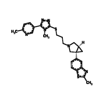 Cc1ccc(-c2nnc(SCCCN3C[C@H]4C[C@@]4(c4ccc5sc(C)nc5c4)C3)n2C)cn1